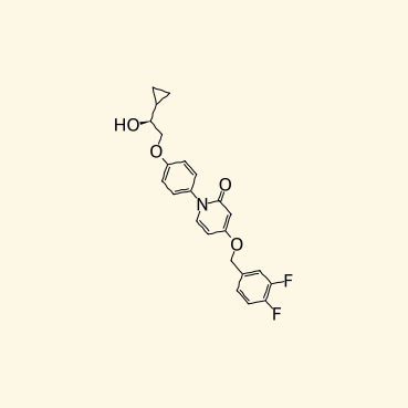 O=c1cc(OCc2ccc(F)c(F)c2)ccn1-c1ccc(OC[C@@H](O)C2CC2)cc1